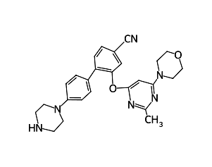 Cc1nc(Oc2cc(C#N)ccc2-c2ccc(N3CCNCC3)cc2)cc(N2CCOCC2)n1